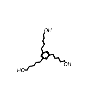 OCCCCCc1cc(CCCCCO)cc(CCCCCO)c1